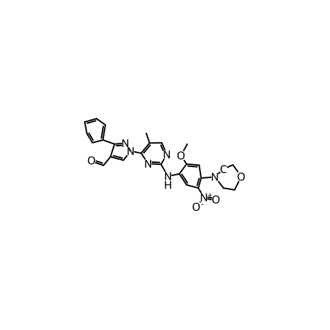 COc1cc(N2CCOCC2)c([N+](=O)[O-])cc1Nc1ncc(C)c(-n2cc(C=O)c(-c3ccccc3)n2)n1